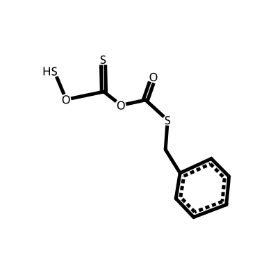 O=C(OC(=S)OS)SCc1ccccc1